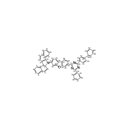 C1=CC2C(c3ccccc31)c1ccc3ccccc3c1N2c1ccc2c(c1)oc1cc(-c3nc(-c4ccccc4)nc(-c4ccc(-c5ccccc5)cc4)n3)ccc12